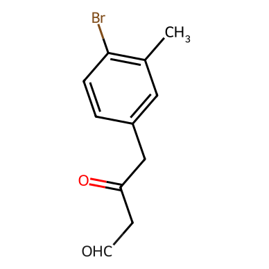 Cc1cc(CC(=O)CC=O)ccc1Br